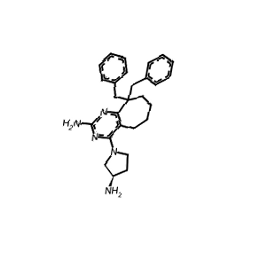 Nc1nc(N2CC[C@@H](N)C2)c2c(n1)C(Cc1ccccc1)(Cc1ccccc1)CCCC2